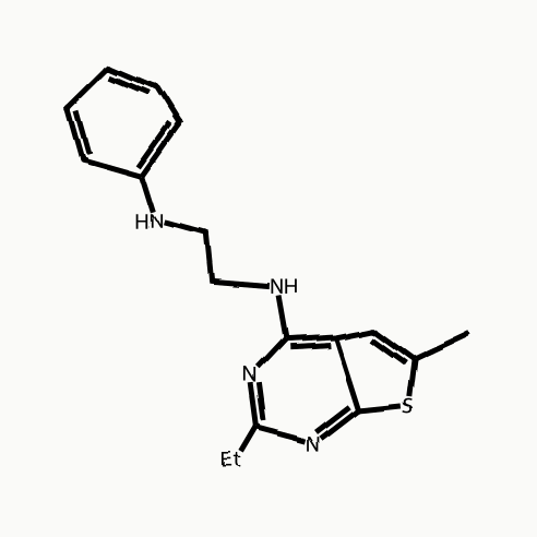 CCc1nc(NCCNc2ccccc2)c2cc(C)sc2n1